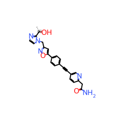 C[C@H](O)c1nccn1Cc1cc(-c2ccc(C#Cc3ccc(CC(N)=O)nc3)cc2)on1